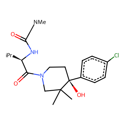 CNC(=O)N[C@@H](C(=O)N1CC[C@](O)(c2ccc(Cl)cc2)C(C)(C)C1)C(C)C